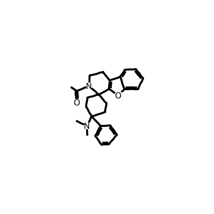 CC(=O)N1CCc2c(oc3ccccc23)C12CCC(c1ccccc1)(N(C)C)CC2